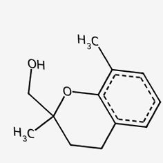 Cc1cccc2c1OC(C)(CO)CC2